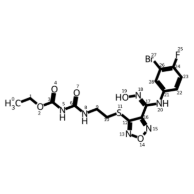 CCOC(=O)NC(=O)NCCSc1nonc1C(=NO)Nc1ccc(F)c(Br)c1